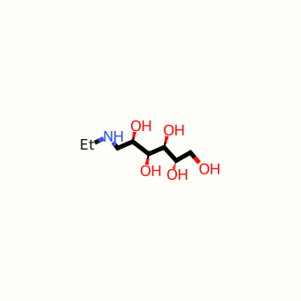 CCNC[C@@H](O)[C@H](O)[C@@H](O)[C@@H](O)CO